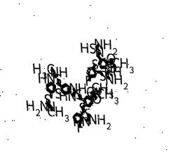 CN(C)S(=O)(=O)c1ccc(SC(SC(=N)N)c2cccc(F)c2)c(CSC(=N)N)c1.CN=C(N)SCc1ccccc1Sc1ccccc1CSC(=N)NC.CS(=O)(=O)c1ccc(Sc2ccc(F)cc2CSC(=N)N)c(CN=C(N)S)c1